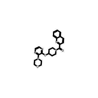 O=C(c1ccc2ccccc2n1)N1CCC(Oc2nccnc2N2CCOCC2)CC1